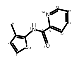 Cc1ccsc1NC(=O)c1ccccn1